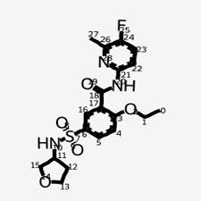 CCOc1ccc(S(=O)(=O)NC2CCOC2)cc1C(=O)Nc1ccc(F)c(C)n1